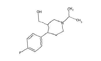 CC(C)N1CCC(c2ccc(F)cc2)C(CO)C1